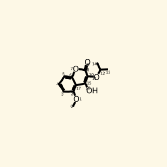 COc1cccc2oc(=O)c(OC(C)C)c(O)c12